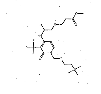 COC(=O)CCOCC(C)Nc1cnn(COCC[Si](C)(C)C)c(=O)c1C(F)(F)F